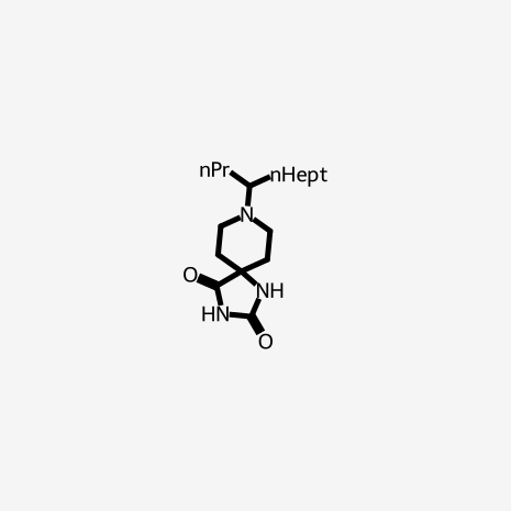 CCCCCCCC(CCC)N1CCC2(CC1)NC(=O)NC2=O